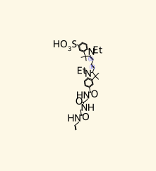 C=CCNC(=O)CNC(=O)CNC(=O)c1ccc2c(c1)C(C)(C)C(/C=C/C=C1/N(CC)c3ccc(S(=O)(=O)O)cc3C1(C)C)N2CC